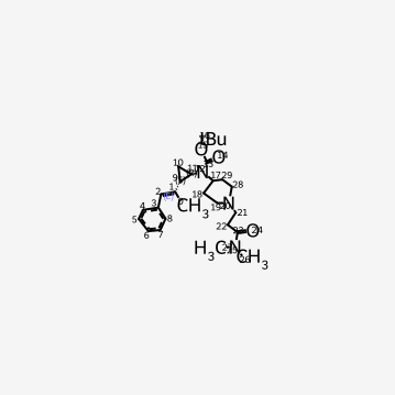 C/C(=C\c1ccccc1)[C@@H]1C[C@H]1N(C(=O)OC(C)(C)C)C1CCN(CCC(=O)N(C)C)CC1